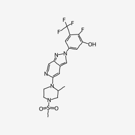 CC1CN(S(C)(=O)=O)CCN1c1cc2cn(-c3cc(O)c(F)c(C(F)(F)F)c3)nc2cn1